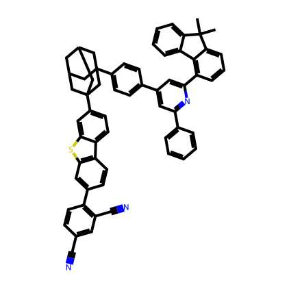 CC1(C)c2ccccc2-c2c(-c3cc(-c4ccc(C56CC7CC(C5)CC(c5ccc8c(c5)sc5cc(-c9ccc(C#N)cc9C#N)ccc58)(C7)C6)cc4)cc(-c4ccccc4)n3)cccc21